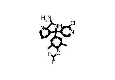 Cc1cc(C2(c3ccnc(Cl)c3)NC(N)c3ncccc32)cc(C)c1OC(F)F